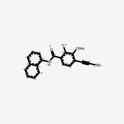 COc1c(C#CC(C)(C)C)ccc(C(=O)Nc2cccc3ccccc23)c1F